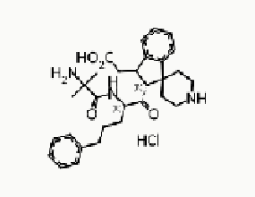 CC(C)(N)C(=O)N[C@H](CCCc1ccccc1)C(=O)[C@@H]1C(CC(=O)O)c2ccccc2C12CCNCC2.Cl